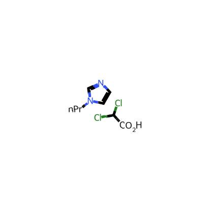 CCCn1ccnc1.O=C(O)C(Cl)Cl